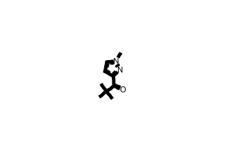 Cn1ccc(C(=O)C(C)(C)C)n1